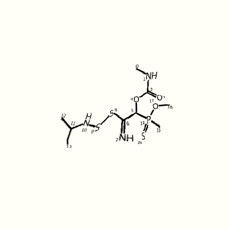 CNC(=O)OC(C(=N)SSNC(C)C)P(C)(=S)OC